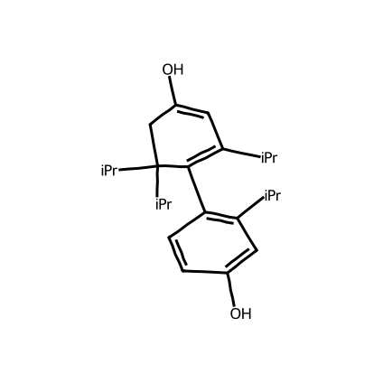 CC(C)C1=C(c2ccc(O)cc2C(C)C)C(C(C)C)(C(C)C)CC(O)=C1